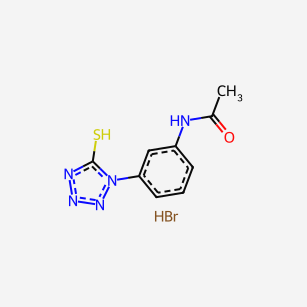 Br.CC(=O)Nc1cccc(-n2nnnc2S)c1